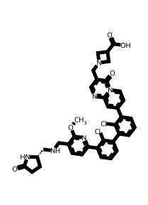 COc1nc(-c2cccc(-c3cccc(-c4ccn5c(=O)c(CN6CC(C(=O)O)C6)cnc5c4)c3Cl)c2Cl)ccc1CNC[C@@H]1CCC(=O)N1